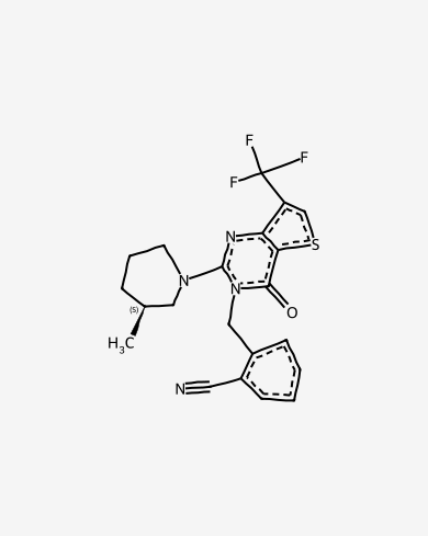 C[C@H]1CCCN(c2nc3c(C(F)(F)F)csc3c(=O)n2Cc2ccccc2C#N)C1